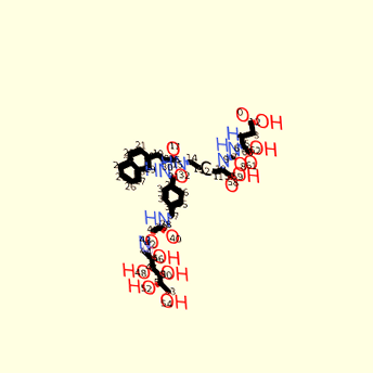 O=C(O)CCC(NC(=O)NC(CCCCNC(=O)C(Cc1ccc2ccccc2c1)NC(=O)c1ccc(CNC(=O)CO/N=C\C(O)C(O)C(O)C(O)CO)cc1)C(=O)O)C(=O)O